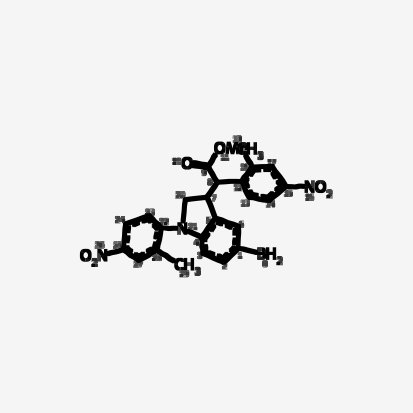 Bc1ccc2c(c1)C(C(C(=O)OC)c1ccc([N+](=O)[O-])cc1C)CN2c1ccc([N+](=O)[O-])cc1C